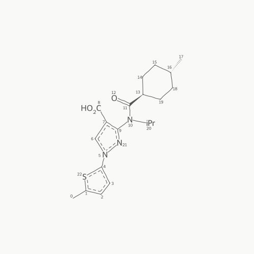 Cc1ccc(-n2cc(C(=O)O)c(N(C(=O)[C@H]3CC[C@H](C)CC3)C(C)C)n2)s1